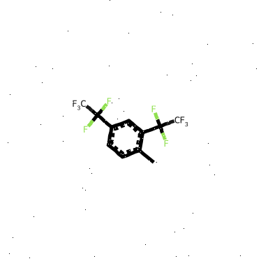 [CH2]c1ccc(C(F)(F)C(F)(F)F)cc1C(F)(F)C(F)(F)F